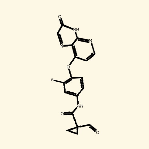 O=CC1(C(=O)Nc2ccc(Oc3ccnc4[nH]c(=O)cnc34)c(F)c2)CC1